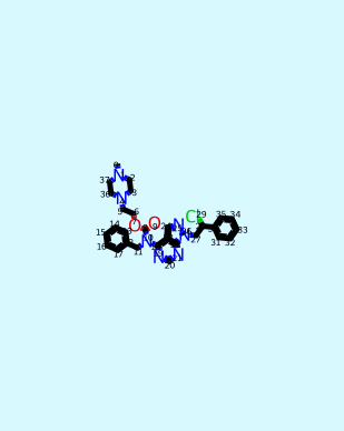 CN1CCN(CCOC(=O)N(Cc2ccccc2)c2ncnc3c2cnn3CC(Cl)c2ccccc2)CC1